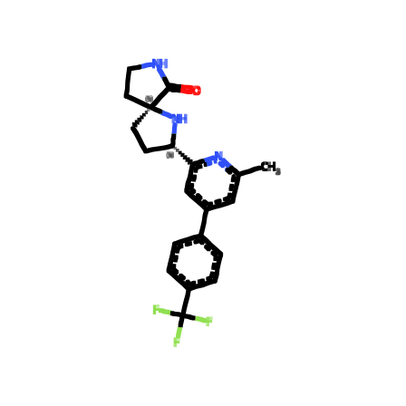 Cc1cc(-c2ccc(C(F)(F)F)cc2)cc([C@@H]2CC[C@@]3(CCNC3=O)N2)n1